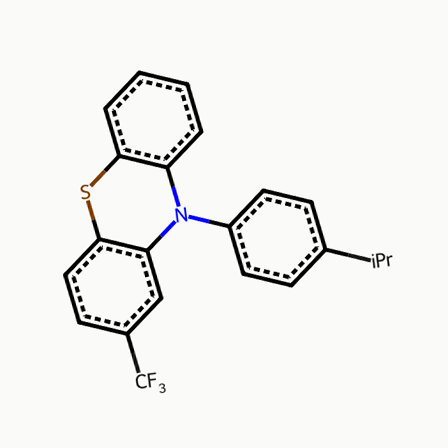 CC(C)c1ccc(N2c3ccccc3Sc3ccc(C(F)(F)F)cc32)cc1